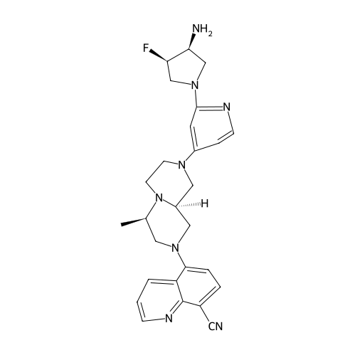 C[C@@H]1CN(c2ccc(C#N)c3ncccc23)C[C@@H]2CN(c3ccnc(N4C[C@@H](F)[C@@H](N)C4)c3)CCN21